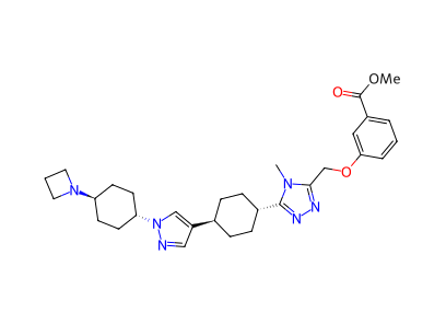 COC(=O)c1cccc(OCc2nnc([C@H]3CC[C@H](c4cnn([C@H]5CC[C@H](N6CCC6)CC5)c4)CC3)n2C)c1